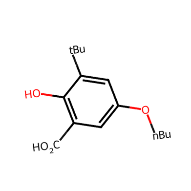 CCCCOc1cc(C(=O)O)c(O)c(C(C)(C)C)c1